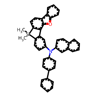 C[Si]1(C)c2ccc(N(c3ccc(-c4ccccc4)cc3)c3ccc4ccccc4c3)cc2-c2c1ccc1c2oc2ccccc21